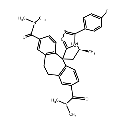 C[C@H](N)CC1(c2nnc(-c3ccc(F)cc3)o2)c2ccc(C(=O)N(C)C)cc2CCc2cc(C(=O)N(C)C)ccc21